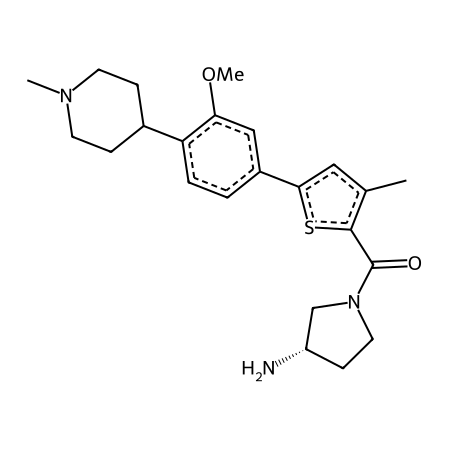 COc1cc(-c2cc(C)c(C(=O)N3CC[C@H](N)C3)s2)ccc1C1CCN(C)CC1